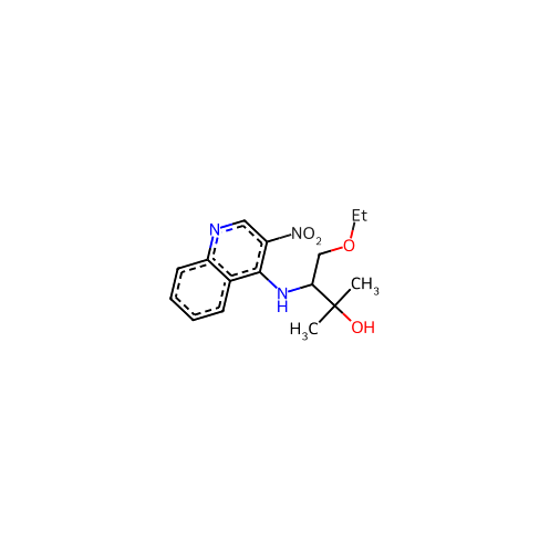 CCOCC(Nc1c([N+](=O)[O-])cnc2ccccc12)C(C)(C)O